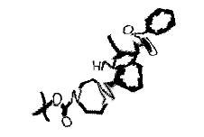 Cc1[nH]c2c(N3CCN(C(=O)OC(C)(C)C)CC3)cccc2c1S(=O)(=O)c1ccccc1